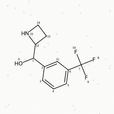 OC(c1cccc(C(F)(F)F)c1)C1CCN1